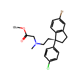 CN(CC[C@]1(c2ccc(Cl)cc2)CCc2cc(Br)ccc21)CC(=O)OC(C)(C)C